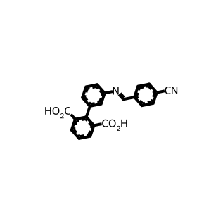 N#Cc1ccc(C=Nc2cccc(-c3c(C(=O)O)cccc3C(=O)O)c2)cc1